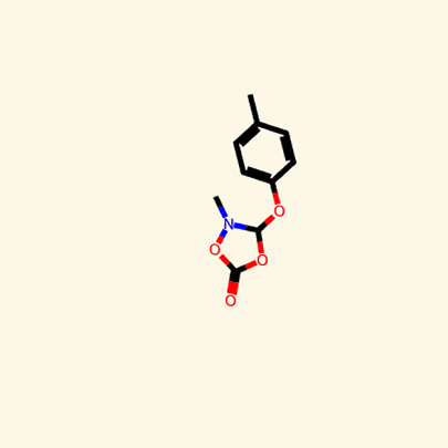 Cc1ccc(OC2OC(=O)ON2C)cc1